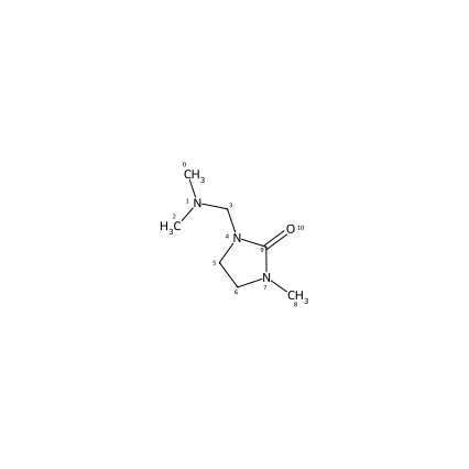 CN(C)CN1CCN(C)C1=O